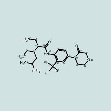 CCN(CC(C)C)[C@@H](CN)C(=O)Nc1ccc(N2CCOCC2=O)cc1C(F)(F)F